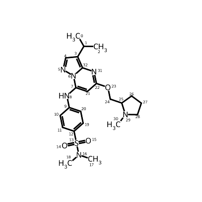 CC(C)c1cnn2c(Nc3ccc(S(=O)(=O)N(C)C)cc3)cc(OCC3CCCN3C)nc12